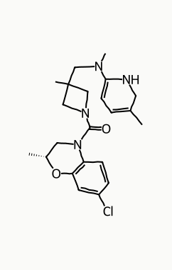 CC1=CC=C(N(C)CC2(C)CN(C(=O)N3C[C@@H](C)Oc4cc(Cl)ccc43)C2)NC1